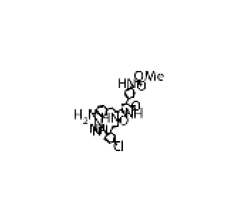 COC(=O)Nc1ccc(-c2cc(C(Cc3ccc(N)cc3)NC(=O)/C=C/c3cc(Cl)ccc3-n3cnnn3)n[nH]c2=O)cc1